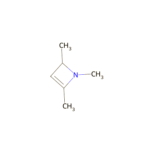 CC1=CC(C)N1C